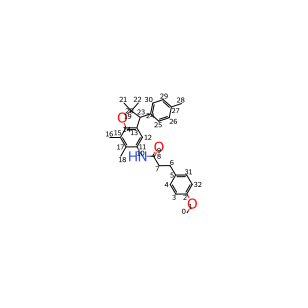 COc1ccc(CCC(=O)Nc2cc3c(c(C)c2C)OC(C)(C)C3c2ccc(C)cc2)cc1